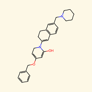 OC1=CC(OCc2ccccc2)=CCN1C1=Cc2ccc(CN3CCCCC3)cc2CC1